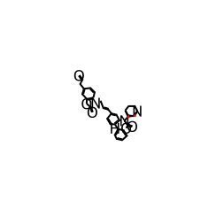 O=CCc1ccc2c(c1)oc(=O)n2CC=Cc1ccc(-c2ccccc2)c(N(C(=O)O)C2CN3CCC2CC3)c1